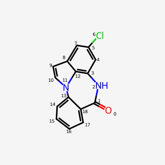 O=C1Nc2cc(Cl)cc3ccn(c23)-c2ccccc21